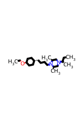 CCO[C@H]1CC[C@H](CCCCN2[C@H](C)CN(C(C)CC)C[C@@H]2C)CC1